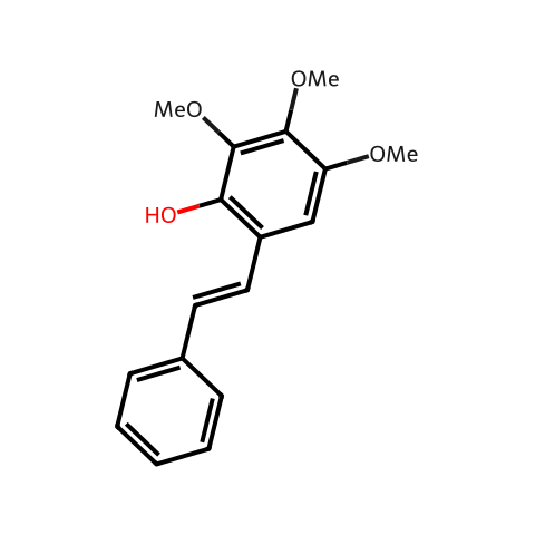 COc1cc(C=Cc2ccccc2)c(O)c(OC)c1OC